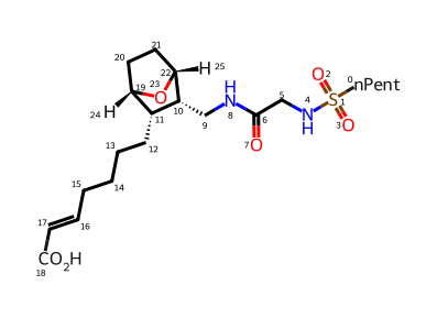 CCCCCS(=O)(=O)NCC(=O)NC[C@@H]1[C@H](CCCC/C=C/C(=O)O)[C@@H]2CC[C@H]1O2